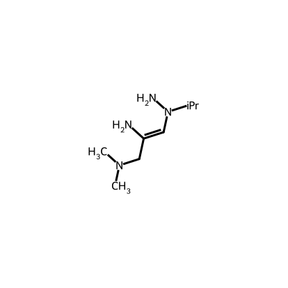 CC(C)N(N)/C=C(\N)CN(C)C